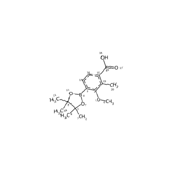 COc1c(B2OC(C)(C)C(C)(C)O2)ccc(C(=O)O)c1C